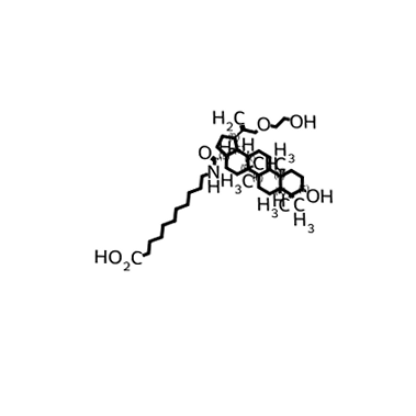 C=C(COCCO)[C@@H]1CC[C@]2(C(=O)NCCCCCCCCCCC(=O)O)CC[C@]3(C)[C@H](CCC4[C@@]5(C)CC[C@H](O)C(C)(C)[C@@H]5CC[C@]43C)[C@@H]12